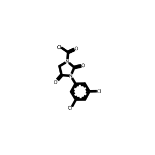 O=C(Cl)N1CC(=O)N(c2cc(Cl)cc(Cl)c2)C1=O